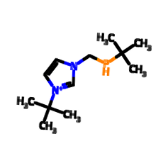 CC(C)(C)PCn1cc[n+](C(C)(C)C)c1